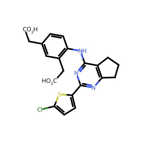 O=C(O)Cc1ccc(Nc2nc(-c3ccc(Cl)s3)nc3c2CCC3)c(CC(=O)O)c1